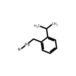 CC(C)c1ccccc1[CH2][Mg][Br]